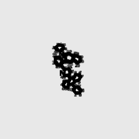 c1ccc(-c2c3ccccc3c(-c3ccc(-c4cccc5c4c4cc6ccccc6cc4n5-c4ccccc4)nc3)c3ccccc23)cc1